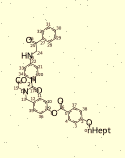 CCCCCCCOc1ccc(C(=O)Oc2ccc(CN(CC(=O)O)C(=O)c3ccc(NCC(=O)c4ccccc4)cc3)cc2)cc1